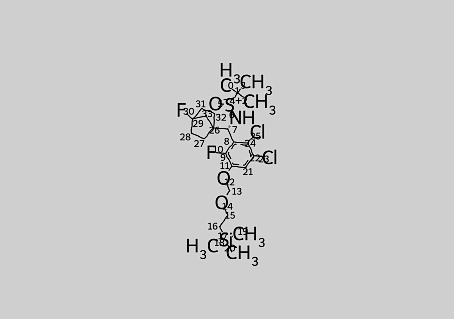 CC(C)(C)[S@@+]([O-])N[C@H](c1c(F)c(OCOCC[Si](C)(C)C)cc(Cl)c1Cl)C12CCC(F)(CC1)C2